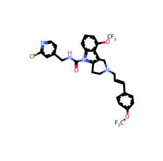 O=C(NCc1ccnc(Cl)c1)n1c2c(c3c(OC(F)(F)F)cccc31)CN(CC=Cc1ccc(OC(F)(F)F)cc1)CC2